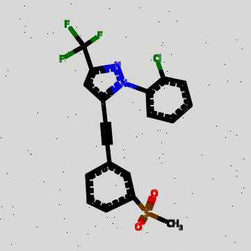 CS(=O)(=O)c1cccc(C#Cc2cc(C(F)(F)F)nn2-c2ccccc2Cl)c1